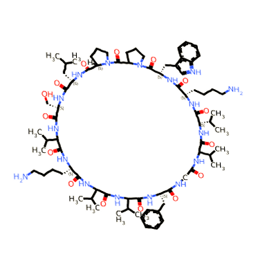 CC(C)C[C@@H]1NC(=O)[C@@H]2CCCN2C(=O)C2CCCN2C(=O)[C@H](Cc2c[nH]c3ccccc23)NC(=O)[C@H](CCCCN)NC(=O)[C@H](C(C)C)NC(=O)C(C(C)C)NC(=O)CNC(=O)[C@H](Cc2ccccc2)NC(=O)C(C(C)C)NC(=O)C(C(C)C)NC(=O)[C@H](CCCCN)NC(=O)C(C(C)C)NC(=O)[C@H](CO)NC1=O